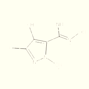 Cc1nn(C)c(/C(N)=N/O)c1C